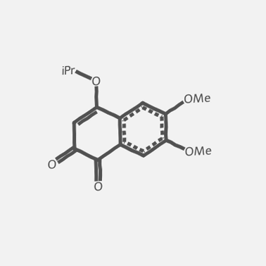 COc1cc2c(cc1OC)C(OC(C)C)=CC(=O)C2=O